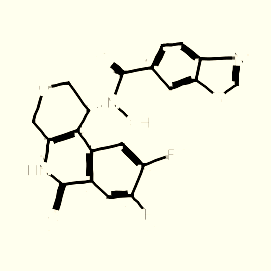 CN(C(=O)c1ccc2ncsc2c1)[C@H]1COCc2[nH]c(=O)c3cc(F)c(F)cc3c21